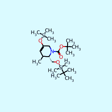 CC1C=C(O[Si](C)(C)C)CN(C(=O)OC(C)(C)C)[C@@H]1CO[Si](C)(C)C(C)(C)C